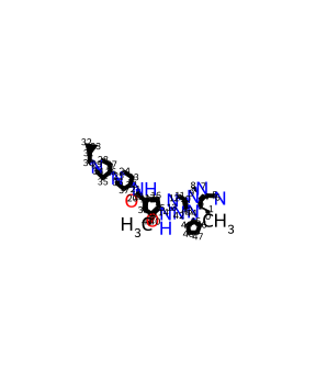 CC[C@@H]1c2c(C#N)ncn2-c2cnc(Nc3ccc(C(=O)NC4CCN(C5CCN(CC6CC6)CC5)CC4)cc3OC)nc2N1C1CCCC1